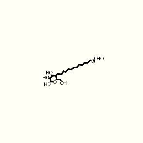 O=COCCCCCCCCCCCCCC1C(CO)OC(O)C(O)C1O